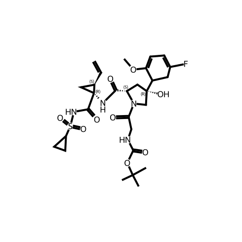 C=C[C@@H]1C[C@]1(NC(=O)[C@@H]1C[C@@](O)(C2CC(F)=CC=C2OC)CN1C(=O)CNC(=O)OC(C)(C)C)C(=O)NS(=O)(=O)C1CC1